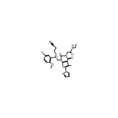 CCNC(=O)Cn1c(=O)c2c(C)c(-n3cccn3)sc2n(C[C@H](OCCC#N)c2cc(F)ccc2OC)c1=O